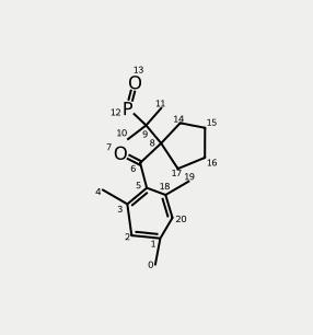 Cc1cc(C)c(C(=O)C2(C(C)(C)P=O)CCCC2)c(C)c1